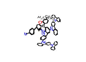 CC(C)(C)c1ccc2c(c1)Oc1cc(-c3ccc(C#N)cc3)cc3c1B2c1cc(-n2c4ccccc4c4cc(-n5c6ccccc6c6ccccc65)ccc42)cc2c4cc(-n5c6ccccc6c6cc(-n7c8ccccc8c8ccccc87)ccc65)ccc4n-3c12